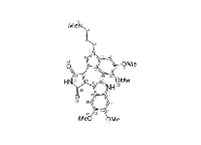 CNCCCn1cc(C2=C(c3c[nH]c4cc(OC)c(OC)cc34)C(=O)NC2=O)c2cc(OC)c(OC)cc21